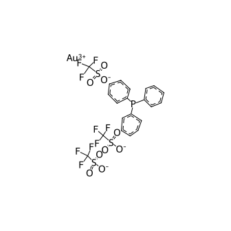 O=S(=O)([O-])C(F)(F)F.O=S(=O)([O-])C(F)(F)F.O=S(=O)([O-])C(F)(F)F.[Au+3].c1ccc(P(c2ccccc2)c2ccccc2)cc1